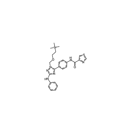 C[Si](C)(C)CCOCn1nc(Nc2ccccc2)nc1-c1ccc(NC(=O)c2cscn2)cc1